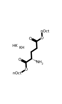 CCCCCCCCOC(=O)CC[C@H](N)C(=O)OCCCCCCCC.[KH].[KH]